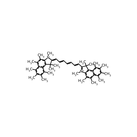 Cc1c(C)c(C)c2c3c(c(C)c(C)c2c1C)[N+](C)=C(/C=C/C=C/C=C/C=C1/N(C)c2c(C)c(C)c4c(C)c(C)c(C)c(C)c4c2C1(C)C)C3(C)C